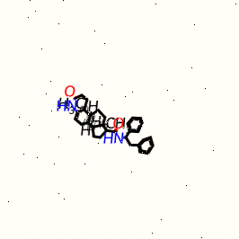 C[C@]12CCC(=O)NC1=CC[C@@H]1[C@H]2CC[C@]2(C)C(C(=O)NC(Cc3ccccc3)c3ccccc3)CC[C@@H]12